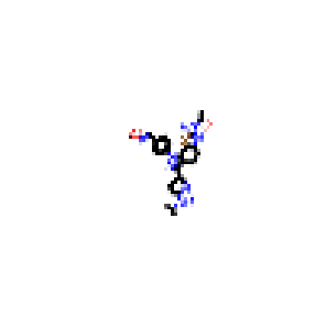 CO/N=C/c1ccc(-n2nc(-c3ccc(NC(C)C)nc3)c3c2-c2sc(NC(C)=O)nc2CC3)cc1